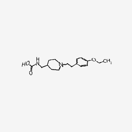 CCOc1ccc(CCN2CCC(CNC(=O)O)CC2)cc1